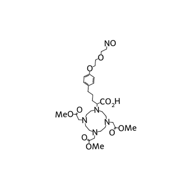 COC(=O)CN1CCN(CC(=O)OC)CCN(C(CCCc2ccc(OCCOCCN=O)cc2)C(=O)O)CCN(CC(=O)OC)CC1